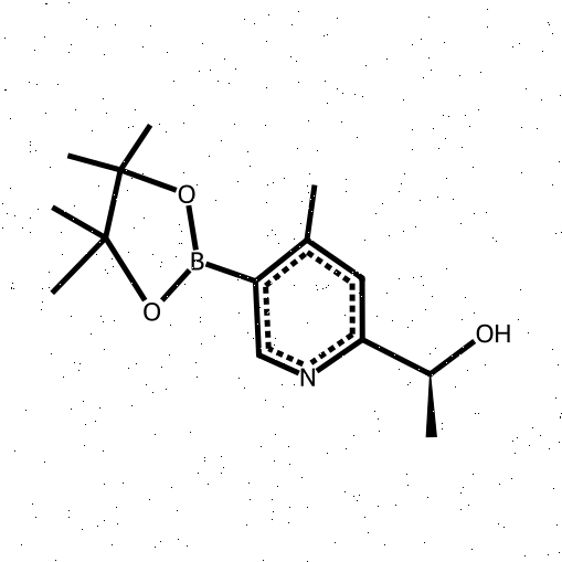 Cc1cc([C@H](C)O)ncc1B1OC(C)(C)C(C)(C)O1